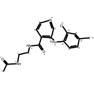 CC(=O)NCCNC(=O)c1ccncc1[AsH]c1ccc(I)cc1Cl